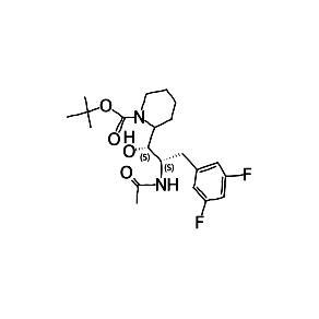 CC(=O)N[C@@H](Cc1cc(F)cc(F)c1)[C@H](O)C1CCCCN1C(=O)OC(C)(C)C